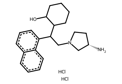 Cl.Cl.N[C@H]1CCN(CC(c2cccc3ccccc23)C2CCCCC2O)C1